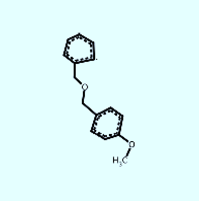 COc1ccc(COCc2[c]cccc2)cc1